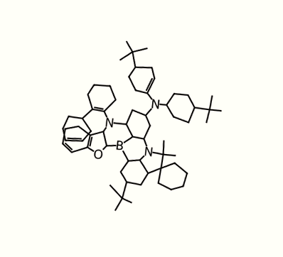 CC(C)(C)C1CC=C(N(C2CCC(C(C)(C)C)CC2)C2CC3C4B(C5CC(C(C)(C)C)CC6C5N(C4C2)C(C)(C)C62CCCCC2)C2OC4=C(CCC=C4)C2N3C2=C(C3CC=CCC3)CCCC2)CC1